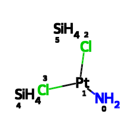 [NH2][Pt]([Cl])[Cl].[SiH4].[SiH4]